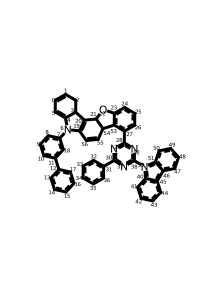 C1=CCC2C(=C1)N(c1cccc(-c3ccccc3)c1)C1=C2C2Oc3cccc(-c4nc(-c5ccccc5)nc(-n5c6ccccc6c6ccccc65)n4)c3C2C=C1